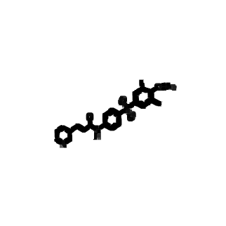 COc1c(C)cc(S(=O)(=O)c2ccc(NC(=O)/C=C/c3cccnc3)cc2)cc1C